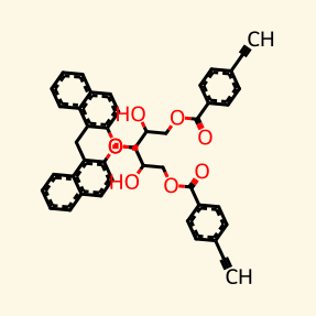 C#Cc1ccc(C(=O)OCC(O)COc2ccc3ccccc3c2Cc2c(OCC(O)COC(=O)c3ccc(C#C)cc3)ccc3ccccc23)cc1